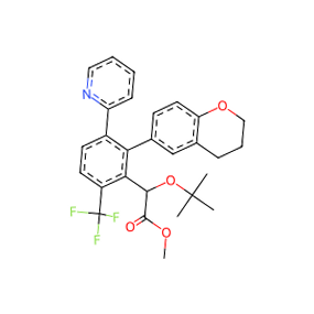 COC(=O)C(OC(C)(C)C)c1c(C(F)(F)F)ccc(-c2ccccn2)c1-c1ccc2c(c1)CCCO2